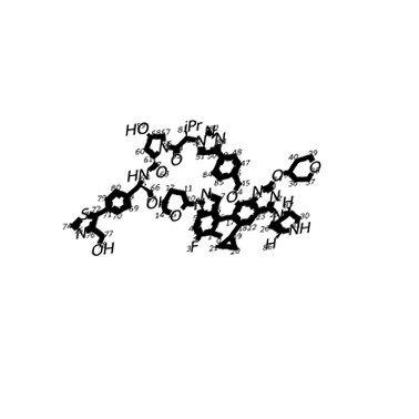 Cc1c(F)cc2c(cnn2C2CCCCO2)c1-c1c(C2CC2)cc2c(N3C[C@@H]4C[C@H]3CN4)nc(OC3CCOCC3)nc2c1OCc1ccc(-c2cn([C@H](C(=O)N3C[C@H](O)C[C@H]3C(=O)N[C@@H](CO)c3ccc(-c4scnc4CO)cc3)C(C)C)nn2)cc1